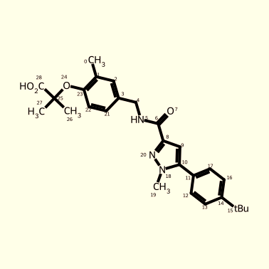 Cc1cc(CNC(=O)c2cc(-c3ccc(C(C)(C)C)cc3)n(C)n2)ccc1OC(C)(C)C(=O)O